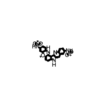 COc1cc(NS(C)(=O)=O)ccc1Nc1cccc2[nH]c3cc4cc(NS(C)(=O)=O)ccc4nc3c12